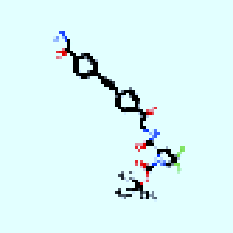 CC(C)(C)OC(=O)N1CC(F)(F)C[C@H]1C(=O)NCC(=O)c1ccc(C#Cc2ccc(C(=O)CN)cc2)cc1